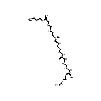 O=C(CSCSCC[S+]([O-])CSCSCSC(=O)CSCSCC(=O)OCSCO)OCSCO